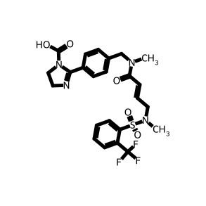 CN(Cc1ccc(C2=NCCN2C(=O)O)cc1)C(=O)C=CCN(C)S(=O)(=O)c1ccccc1C(F)(F)F